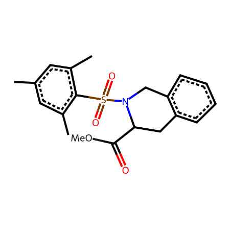 COC(=O)C1Cc2ccccc2CN1S(=O)(=O)c1c(C)cc(C)cc1C